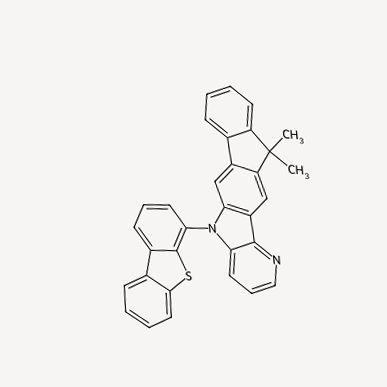 CC1(C)c2ccccc2-c2cc3c(cc21)c1ncccc1n3-c1cccc2c1sc1ccccc12